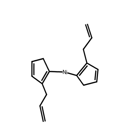 C=CCC1=[C]([Ni][C]2=C(CC=C)C=CC2)CC=C1